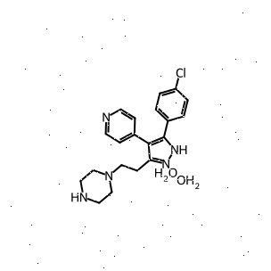 Clc1ccc(-c2[nH]nc(CCN3CCNCC3)c2-c2ccncc2)cc1.O.O